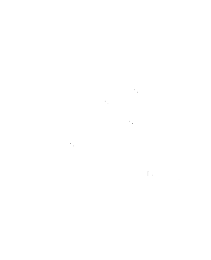 CNC(=O)c1ccc2c(c1)C(Nc1nccc(C)n1)[C@@H](C)C(C1CC1)N2C(C)=O